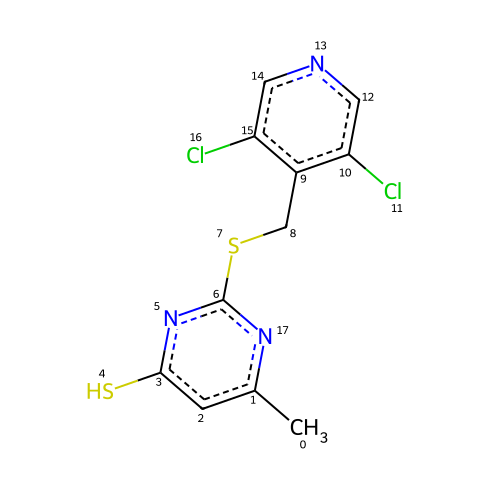 Cc1cc(S)nc(SCc2c(Cl)cncc2Cl)n1